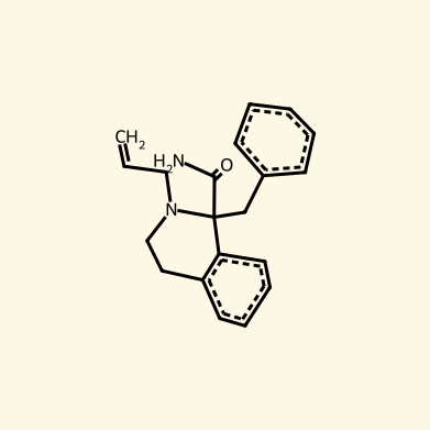 C=CCN1CCc2ccccc2C1(Cc1ccccc1)C(N)=O